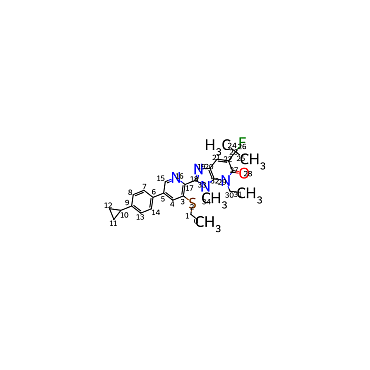 CCSc1cc(-c2ccc(C3CC3)cc2)cnc1-c1nc2cc(C(C)(C)F)c(=O)n(CC)c2n1C